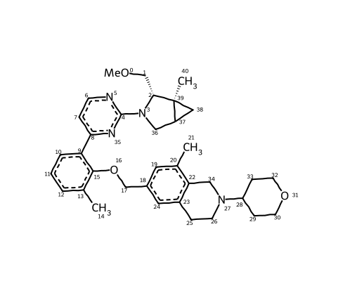 COC[C@H]1N(c2nccc(-c3cccc(C)c3OCc3cc(C)c4c(c3)CCN(C3CCOCC3)C4)n2)CC2C[C@@]21C